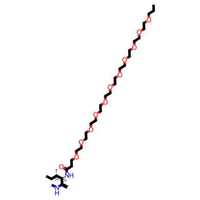 C=C(NC)[C@@H](NC(=O)CCOCCOCCOCCOCCOCCOCCOCCOCCOCCOCCOCCC)[C@@H](C)CC